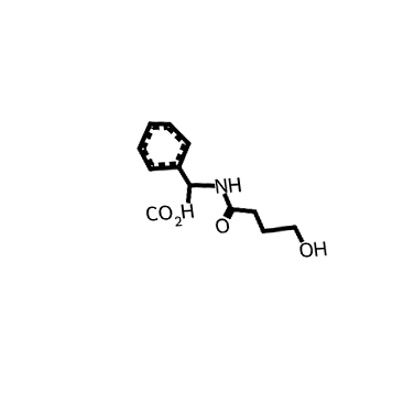 O=C(CCCO)NC(C(=O)O)c1ccccc1